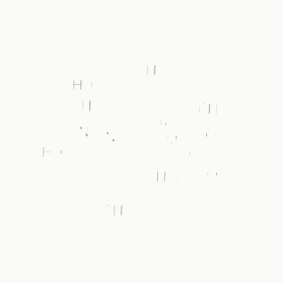 C=C(C)C(=O)N(CCC)N(C)C.COS(=O)(=O)O